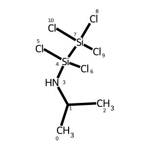 CC(C)N[Si](Cl)(Cl)[Si](Cl)(Cl)Cl